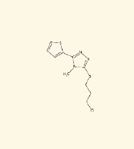 Cn1c(SCCCCl)nnc1-c1cccs1